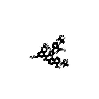 CCc1cc(OC(C)C)c(F)c(C(Nc2ccc3c(N)nccc3c2)c2nc(-c3ccccc3C(N)=O)c[nH]2)c1.O=C(O)C(F)(F)F.O=C(O)C(F)(F)F